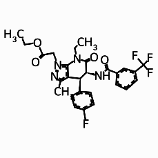 CCOC(=O)Cn1nc(C)c2c1N(CC)C(=O)[C@@H](NC(=O)c1cccc(C(F)(F)F)c1)[C@H]2c1ccc(F)cc1